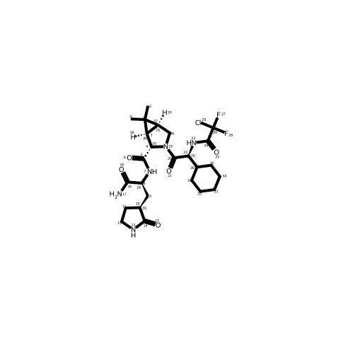 CC1(C)[C@@H]2[C@@H](C(=O)N[C@@H](C[C@@H]3CCNC3=O)C(N)=O)N(C(=O)[C@@H](NC(=O)C(F)(F)Cl)C3CCCCC3)C[C@@H]21